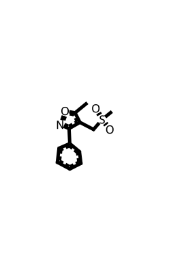 Cc1onc(-c2ccccc2)c1CS(C)(=O)=O